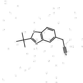 CC(C)(C)c1nc2cc(CC#N)ccc2s1